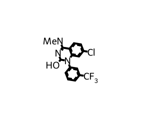 CNC1=NC(O)N(c2cccc(C(F)(F)F)c2)c2cc(Cl)ccc21